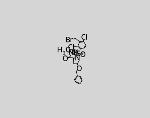 CNC(=O)C1CC(OCc2ccccc2)CN1S(=O)(=O)c1ccc(Cl)c(CBr)c1Cl